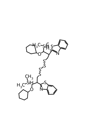 C[SiH](C)C(OC1CCCCC1)C(CSSSSCC(c1nc2ccccc2s1)C(OC1CCCCC1)[SiH](C)C)c1nc2ccccc2s1